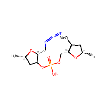 B[C@H]1CC(OC)[C@@H](COP(=O)(O)OC2C[C@H](B)O[C@@H]2CN=[N+]=[N-])O1